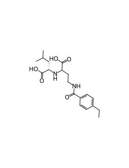 CCc1ccc(C(=O)NCCC(N[C@@H](CC(C)C)C(=O)O)C(=O)O)cc1